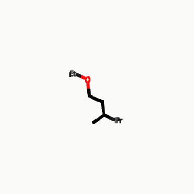 CCOCC[C](C)C(C)C